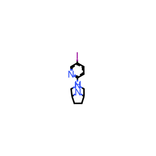 Ic1ccc(N2CC3CCC(C2)N3)nc1